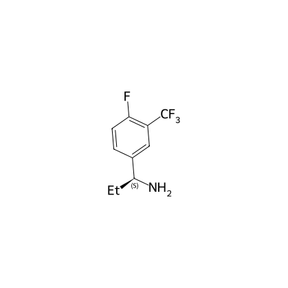 CC[C@H](N)c1ccc(F)c(C(F)(F)F)c1